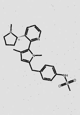 Cc1cc(Cc2ccc(NS(C)(=O)=O)cc2)n(C)c1-c1ncccc1[C@@H]1CCCN1C